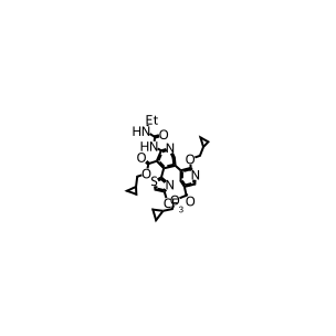 CCNC(=O)Nc1ncc(-c2cc(C(=O)OCC3CC3)cnc2OCC2CC2)c(-c2nc(C(F)(F)F)cs2)c1C(=O)OCC1CC1